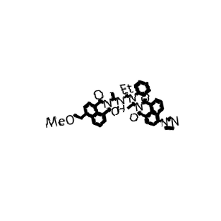 CCC(NC(C)N1C(=O)c2cccc3c(CCOC)ccc(c23)C1=O)N(c1ccccc1)C(C)N1C(=O)c2cccc3c(-n4ccnc4)ccc(c23)C1=O